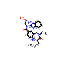 CN1Cc2cc(C(=O)N(CCO)c3nc4ccccc4[nH]3)ccc2NC(CC(=O)O)C1=O